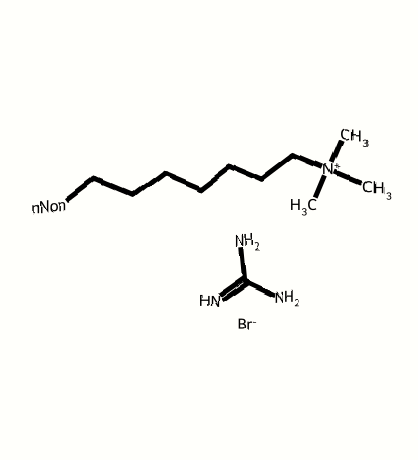 CCCCCCCCCCCCCCCC[N+](C)(C)C.N=C(N)N.[Br-]